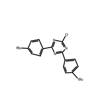 CC(C)(C)c1ccc(-c2nc(Cl)nc(-c3ccc(C(C)(C)C)cc3)n2)cc1